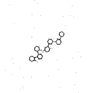 c1ccc2c(c1)oc1c(-c3cccc4c3oc3ccc(-n5c6ccccc6c6c7c(ccc65)sc5ccccc57)cc34)cccc12